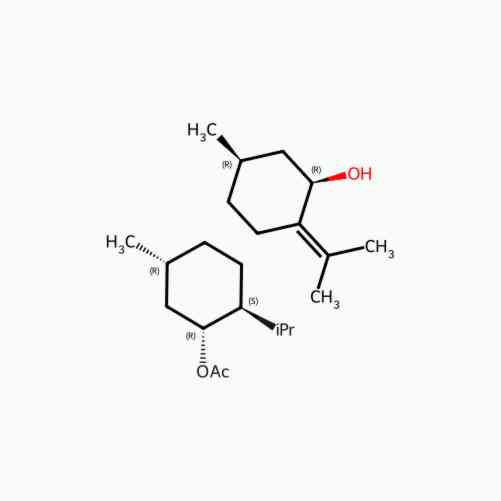 CC(=O)O[C@@H]1C[C@H](C)CC[C@H]1C(C)C.CC(C)=C1CC[C@@H](C)C[C@H]1O